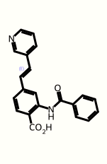 O=C(Nc1cc(/C=C/c2cccnc2)ccc1C(=O)O)c1ccccc1